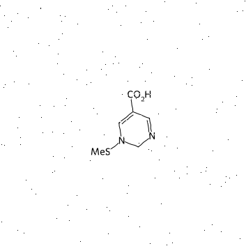 CSN1C=C(C(=O)O)C=NC1